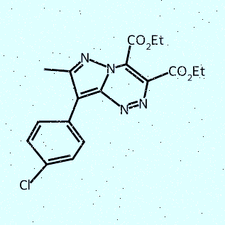 CCOC(=O)c1nnc2c(-c3ccc(Cl)cc3)c(C)nn2c1C(=O)OCC